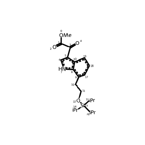 COC(=O)C(=O)c1c[nH]c2c(CCO[Si](C(C)C)(C(C)C)C(C)C)cccc12